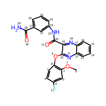 COc1cc(F)ccc1Oc1nc2ccccc2nc1C(=O)Nc1cccc(C(N)=O)c1